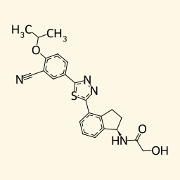 CC(C)Oc1ccc(-c2nnc(-c3cccc4c3CC[C@H]4NC(=O)CO)s2)cc1C#N